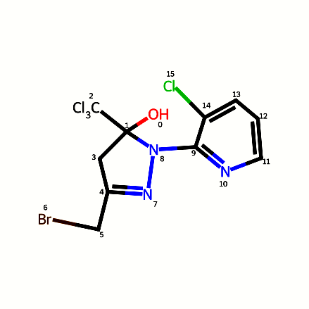 OC1(C(Cl)(Cl)Cl)CC(CBr)=NN1c1ncccc1Cl